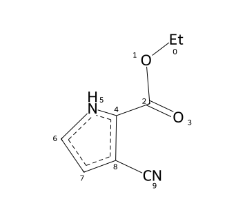 CCOC(=O)c1[nH]ccc1C#N